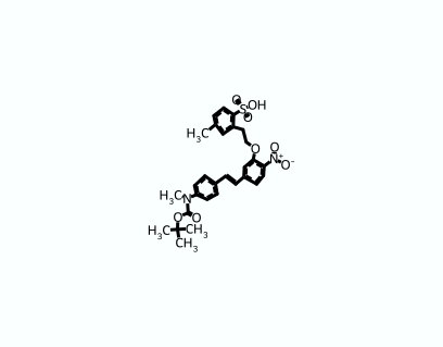 Cc1ccc(S(=O)(=O)O)c(CCOc2cc(C=Cc3ccc(N(C)C(=O)OC(C)(C)C)cc3)ccc2[N+](=O)[O-])c1